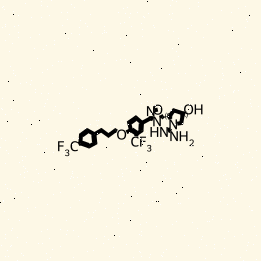 N=C(N)N1C[C@H](O)C[C@H]1c1nc(-c2ccc(OCCCc3ccc(C(F)(F)F)cc3)c(C(F)(F)F)c2)no1